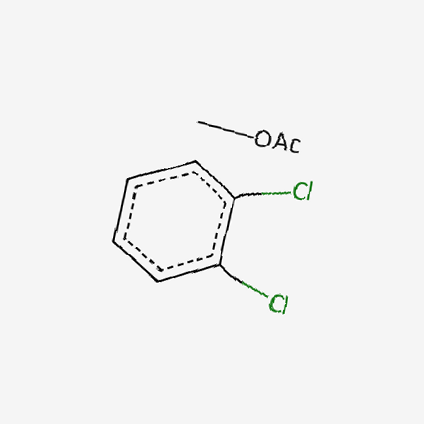 COC(C)=O.Clc1ccccc1Cl